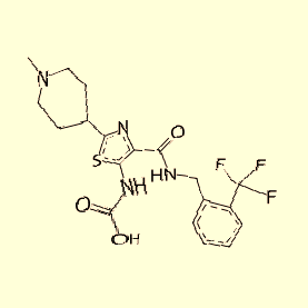 CN1CCC(c2nc(C(=O)NCc3ccccc3C(F)(F)F)c(NC(=O)O)s2)CC1